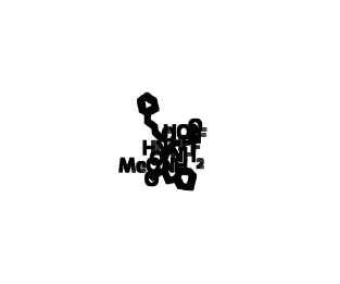 COC(=O)C(Cc1ccccc1)NC(=O)C(N)(CC(C)C)NC(=O)CCCc1ccccc1.O=C(O)C(F)(F)F